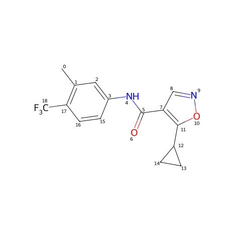 Cc1cc(NC(=O)c2cnoc2C2CC2)ccc1C(F)(F)F